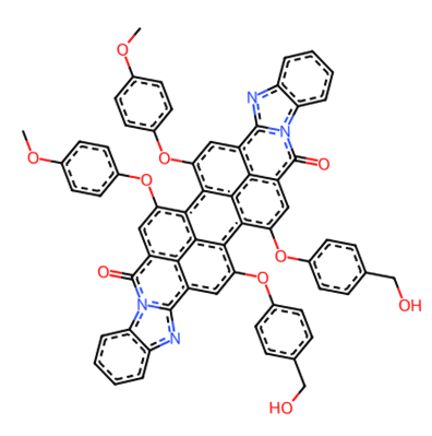 COc1ccc(Oc2cc3c(=O)n4c5ccccc5nc4c4cc(Oc5ccc(CO)cc5)c5c6c(Oc7ccc(CO)cc7)cc7c(=O)n8c9ccccc9nc8c8cc(Oc9ccc(OC)cc9)c(c2c5c34)c6c78)cc1